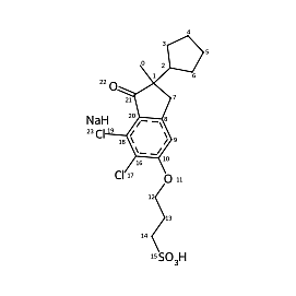 CC1(C2CCCC2)Cc2cc(OCCCS(=O)(=O)O)c(Cl)c(Cl)c2C1=O.[NaH]